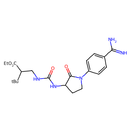 CCOC(=O)C(CNC(=O)NC1CCN(c2ccc(C(=N)N)cc2)C1=O)C(C)(C)C